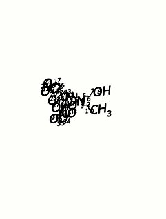 CCCCN(CCCO)C(=O)CN1CC(c2ccc3c(c2)OCO3)C(C(=O)O)C1CCN1C(=O)CCC1=O